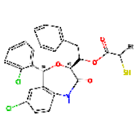 CCC(S)C(=O)OC(Cc1ccccc1)[C@@H]1O[C@@H](c2ccccc2Cl)c2cc(Cl)ccc2NC1=O